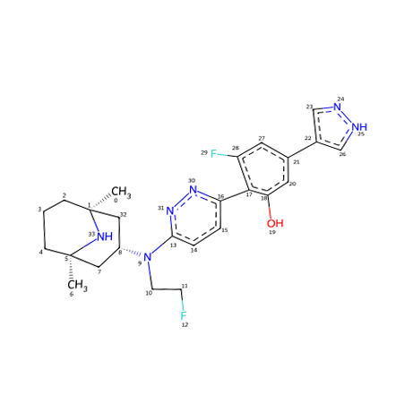 C[C@]12CCC[C@](C)(C[C@@H](N(CCF)c3ccc(-c4c(O)cc(-c5cn[nH]c5)cc4F)nn3)C1)N2